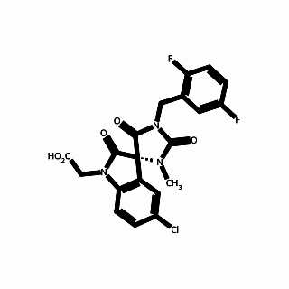 CN1C(=O)N(Cc2cc(F)ccc2F)C(=O)[C@@]12C(=O)N(CC(=O)O)c1ccc(Cl)cc12